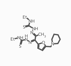 CCNC(=S)N/N=C(C)/C(=N\NC(=S)NCC)c1ccc(CN2CCCCC2)o1